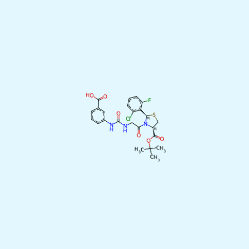 CC(C)(C)OC(=O)[C@@H]1CS[C@H](c2c(F)cccc2Cl)N1C(=O)CNC(=O)Nc1cccc(C(=O)O)c1